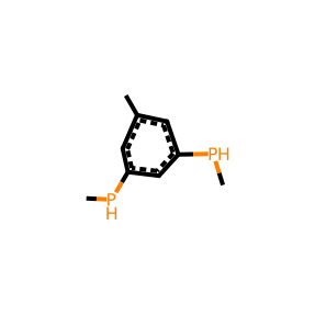 CPc1cc(C)cc(PC)c1